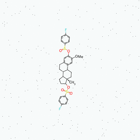 COc1cc2c(cc1OS(=O)c1ccc(F)cc1)CCC1C2CC[C@]2(C)C(OS(=O)(=O)c3ccc(F)cc3)CCC12